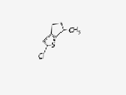 CC1CCc2cc(Cl)sc21